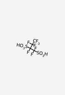 O=S(=O)(O)C(F)(F)C(F)(C(F)(F)C(F)(F)F)S(=O)(=O)O